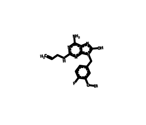 C=CCNc1nc(N)c2nc(O)n(Cc3ccc(F)c(OCC)c3)c2n1